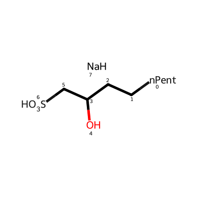 CCCCCCCC(O)CS(=O)(=O)O.[NaH]